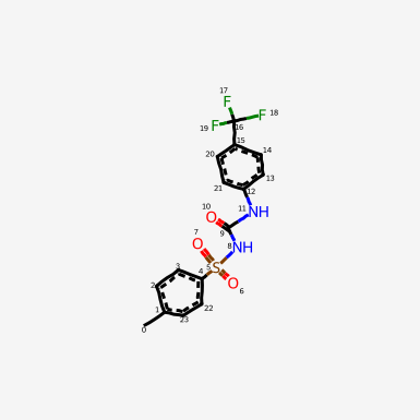 Cc1ccc(S(=O)(=O)NC(=O)Nc2ccc(C(F)(F)F)cc2)cc1